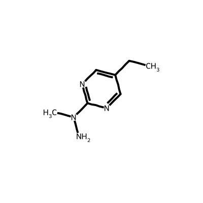 CCc1cnc(N(C)N)nc1